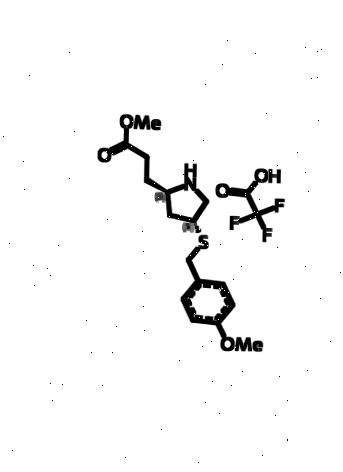 COC(=O)CC[C@@H]1C[C@@H](SCc2ccc(OC)cc2)CN1.O=C(O)C(F)(F)F